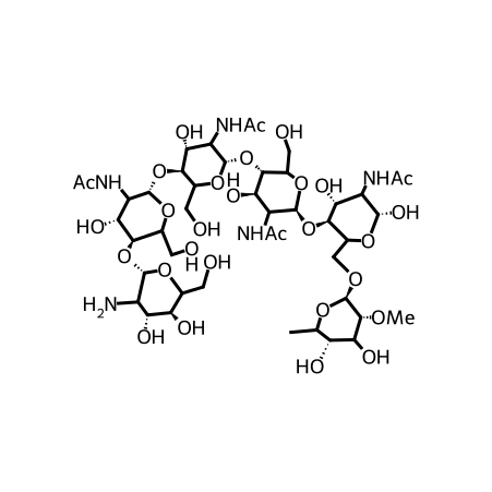 CO[C@@H]1C(O)[C@H](O)C(C)O[C@H]1OCC1O[C@@H](O)C(NC(C)=O)[C@@H](O)[C@@H]1O[C@@H]1OC(CO)[C@@H](O[C@@H]2OC(CO)[C@@H](O[C@@H]3OC(CO)[C@@H](O[C@@H]4OC(CO)[C@@H](O)[C@H](O)C4N)[C@H](O)C3NC(C)=O)[C@H](O)C2NC(C)=O)[C@H](O)C1NC(C)=O